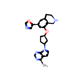 Cc1ncnc2c1ccn2C1CCC(Oc2cc(-c3cnco3)cc3c2CNCC3)C1